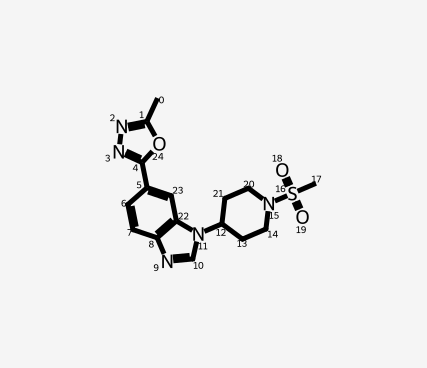 Cc1nnc(-c2ccc3ncn(C4CCN(S(C)(=O)=O)CC4)c3c2)o1